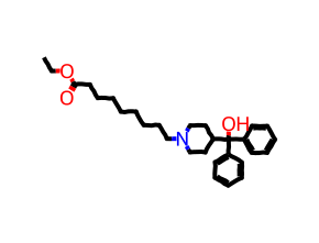 CCOC(=O)CCCCCCCCN1CCC(C(O)(c2ccccc2)c2ccccc2)CC1